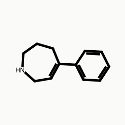 C1=C(c2ccccc2)CCCNC1